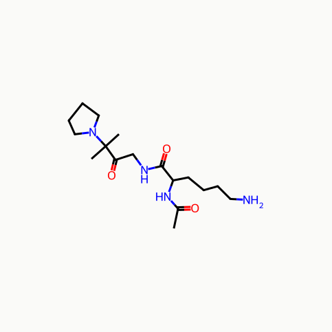 CC(=O)NC(CCCCN)C(=O)NCC(=O)C(C)(C)N1CCCC1